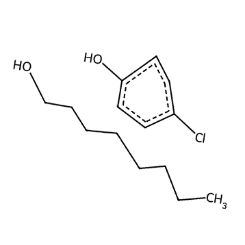 CCCCCCCCO.Oc1ccc(Cl)cc1